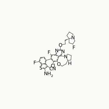 N#Cc1c(N)sc2c(F)ccc(-c3c(Cl)c4c5c(nc(OCC[C@@]67CCCN6C[C@H](F)C7)nc5c3F)N3CCC[C@H]3CCO4)c12